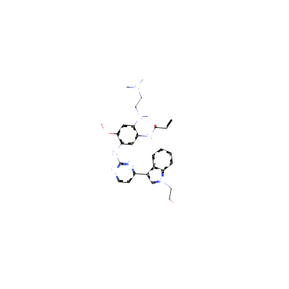 C=CC(=O)Nc1cc(Nc2nccc(-c3cn(CCO)c4ccccc34)n2)c(OC)cc1N(C)CCN(C)C